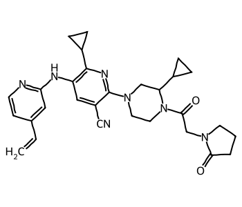 C=Cc1ccnc(Nc2cc(C#N)c(N3CCN(C(=O)CN4CCCC4=O)C(C4CC4)C3)nc2C2CC2)c1